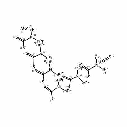 CCCN(CCC)C(=S)[S-].CCCN(CCC)C(=S)[S-].CCCN(CCC)C(=S)[S-].CCCN(CCC)C(=S)[S-].CCCN(CCC)C(=S)[S-].CCCN(CCC)C(=S)[S-].O=S.[Mo+6]